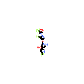 C[C@H]1C[C@@](O)(c2ccc(C(F)(F)F)nc2)C[C@@H](COc2cnc(N3CC(O)(C(F)(F)F)C3)c(C(F)(F)F)c2)N1